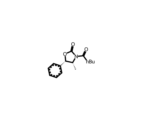 CCCCC(=O)N1C(=O)O[C@@H](c2ccccc2)[C@H]1C